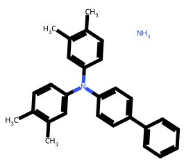 Cc1ccc(N(c2ccc(-c3ccccc3)cc2)c2ccc(C)c(C)c2)cc1C.N